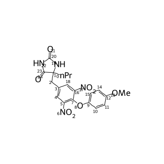 CCCC1(Cc2cc([N+](=O)[O-])c(Oc3ccc(OC)cc3)c([N+](=O)[O-])c2)NC(=O)NC1=O